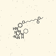 CCOC(=O)CCCCCCOc1ccc(Nc2nc(NC3CCCCC3)c3ncn(C)c3n2)cc1